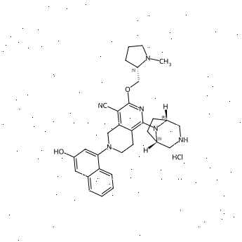 CN1CCC[C@H]1COc1nc(N2[C@@H]3CC[C@H]2CNC3)c2c(c1C#N)CN(c1cc(O)cc3ccccc13)CC2.Cl